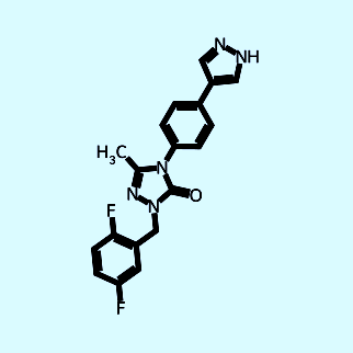 Cc1nn(Cc2cc(F)ccc2F)c(=O)n1-c1ccc(-c2cn[nH]c2)cc1